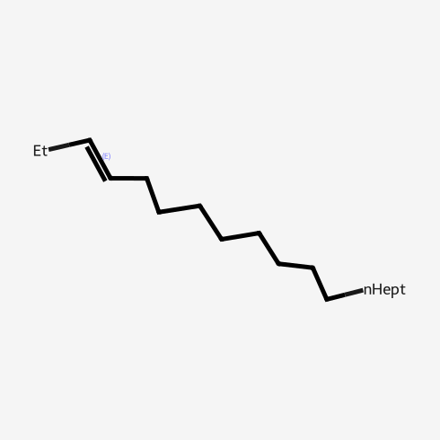 CC/C=C/CCCCCCCCCCCCCCC